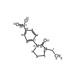 CCN1CCCN(c2ccc([N+](=O)[O-])cc2)C1=O